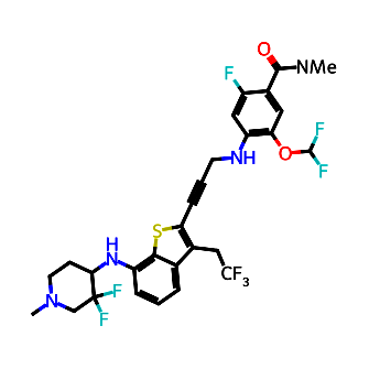 CNC(=O)c1cc(OC(F)F)c(NCC#Cc2sc3c(NC4CCN(C)CC4(F)F)cccc3c2CC(F)(F)F)cc1F